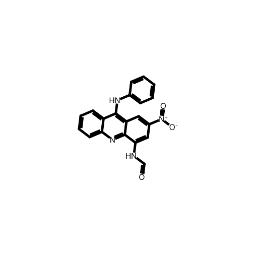 O=CNc1cc([N+](=O)[O-])cc2c(Nc3ccccc3)c3ccccc3nc12